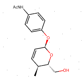 CC(=O)Nc1ccc(O[C@@H]2C=C[C@H](C)[C@@H](CO)O2)cc1